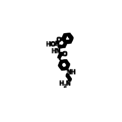 NCCN[C@H]1CC[C@H](CC(=O)N[C@H]2Cc3ccccc3OB2O)CC1